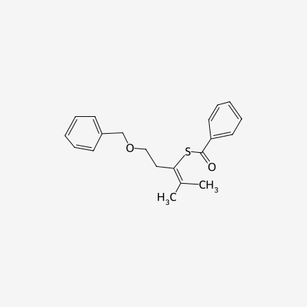 CC(C)=C(CCOCc1ccccc1)SC(=O)c1ccccc1